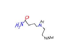 CNCCN(CCCC(N)=O)C(C)=O